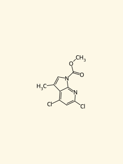 COC(=O)n1cc(C)c2c(Cl)cc(Cl)nc21